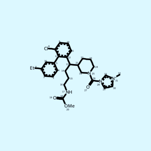 CCc1cccc(-c2c(Cl)cccc2C(CCCNC(=O)OC)C2CCCN(C(=O)n3cc[n+](C)c3)C2)c1